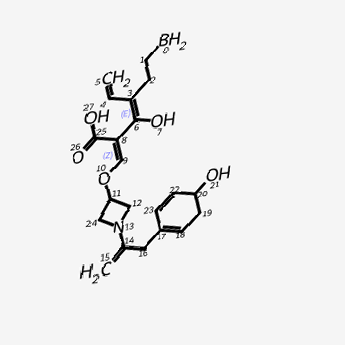 BCC/C(C=C)=C(O)/C(=C/OC1CN(C(=C)CC2=CCC(O)C=C2)C1)C(=O)O